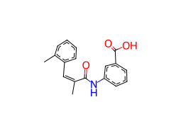 CC(=Cc1ccccc1C)C(=O)Nc1cccc(C(=O)O)c1